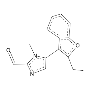 CCc1oc2ccccc2c1-c1cnc(C=O)n1C